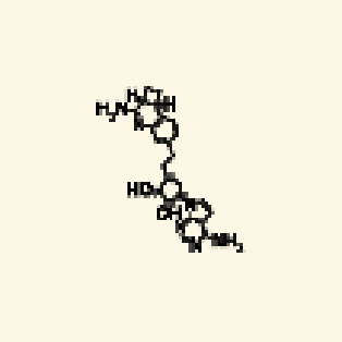 NC1=Nc2cc(CC[C@H]3C[C@@H](n4ccc5c(N)ncnc54)[C@H](O)[C@@H]3O)ccc2[C@H]2CC[C@@H]12